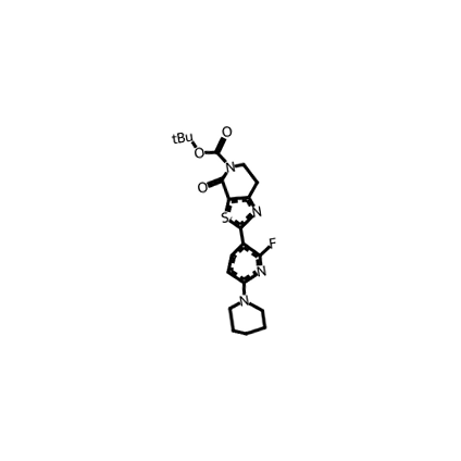 CC(C)(C)OC(=O)N1CCc2nc(-c3ccc(N4CCCCC4)nc3F)sc2C1=O